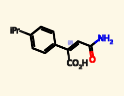 CC(C)c1ccc(/C(=C/C(N)=O)C(=O)O)cc1